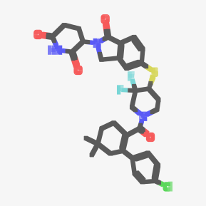 CC1(C)CCC(C(=O)N2CC[C@H](Sc3ccc4c(c3)CN(C3CCC(=O)NC3=O)C4=O)C(F)(F)C2)=C(c2ccc(Cl)cc2)C1